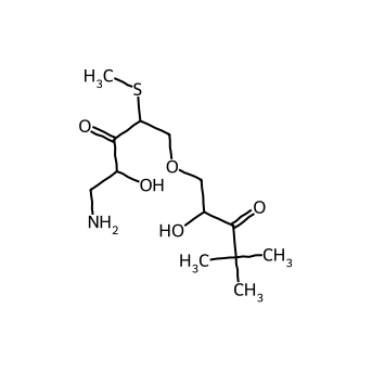 CSC(COCC(O)C(=O)C(C)(C)C)C(=O)C(O)CN